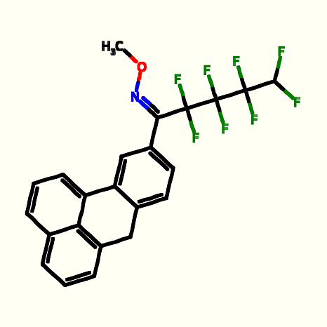 CON=C(c1ccc2c(c1)-c1cccc3cccc(c13)C2)C(F)(F)C(F)(F)C(F)(F)C(F)F